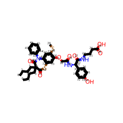 CCCCC1(CCCC)C(=O)Sc2cc(OCC(=O)N[C@@H](C(=O)NCCCC(=O)O)c3ccc(O)cc3)c(SC)cc2N(c2ccccc2)C1=O